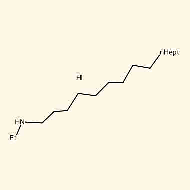 CCCCCCCCCCCCCCCCNCC.I